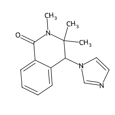 CN1C(=O)c2ccccc2C(n2ccnc2)C1(C)C